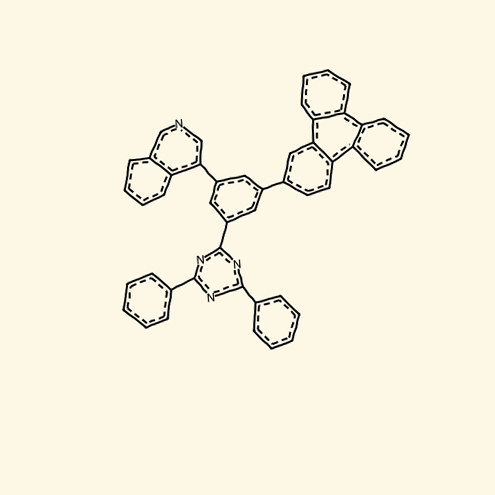 c1ccc(-c2nc(-c3ccccc3)nc(-c3cc(-c4ccc5c6ccccc6c6ccccc6c5c4)cc(-c4cncc5ccccc45)c3)n2)cc1